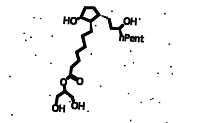 CCCCC[C@H](O)CC[C@H]1CC[C@H](O)[C@@H]1CCCCCCC(=O)OC(CO)CO